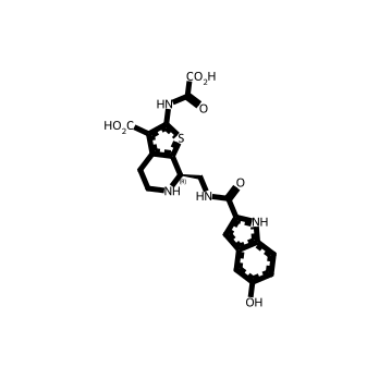 O=C(O)C(=O)Nc1sc2c(c1C(=O)O)CCN[C@@H]2CNC(=O)c1cc2cc(O)ccc2[nH]1